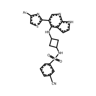 CC(=O)c1csc(-c2cnc3[nH]ccc3c2NC2CC(NS(=O)(=O)c3cccc(C#N)c3)C2)n1